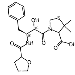 CC1(C)SCN(C(=O)[C@@H](O)[C@H](Cc2ccccc2)NC(=O)C2CCCO2)C1C(=O)O